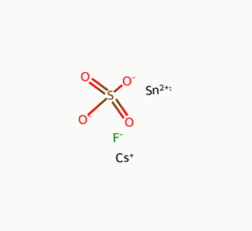 O=S(=O)([O-])[O-].[Cs+].[F-].[Sn+2]